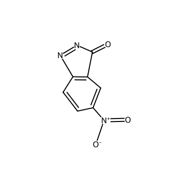 O=C1N=Nc2ccc([N+](=O)[O-])cc21